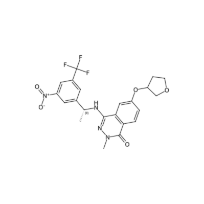 C[C@@H](Nc1nn(C)c(=O)c2ccc(OC3CCOC3)cc12)c1cc([N+](=O)[O-])cc(C(F)(F)F)c1